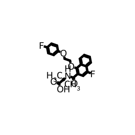 CC(C)(NC(=O)c1cc(F)c2ccccc2c1OCCOc1ccc(F)cc1)C(=O)O